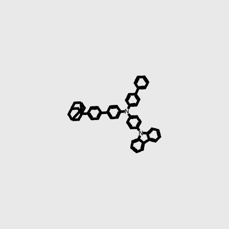 c1ccc(-c2ccc(N(c3ccc(-c4ccc(C56CC7CC(CC(C7)C5)C6)cc4)cc3)c3ccc(-n4c5ccccc5c5ccccc54)cc3)cc2)cc1